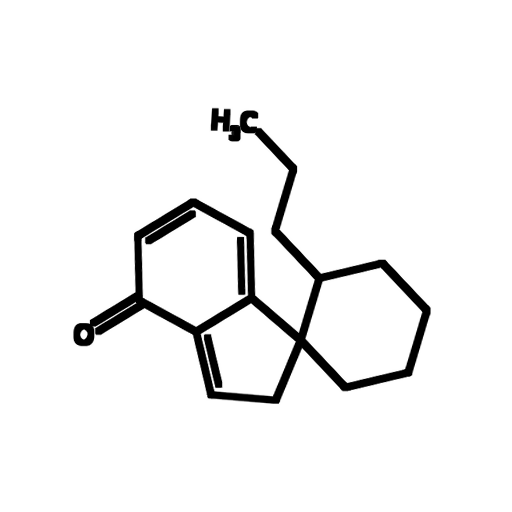 CCCC1CCCCC12CC=C1C(=O)C=CC=C12